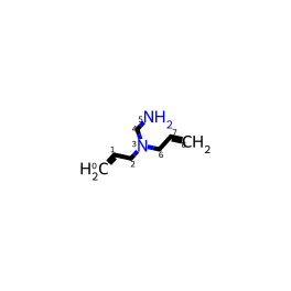 C=CCN(CN)CC=C